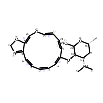 C[C@@H]1C[C@H](N(C)C)[C@@H](OC2=C/C=C\C=C/C3=NCO/C3=C/O/C=C/C=C\2)C(O)O1